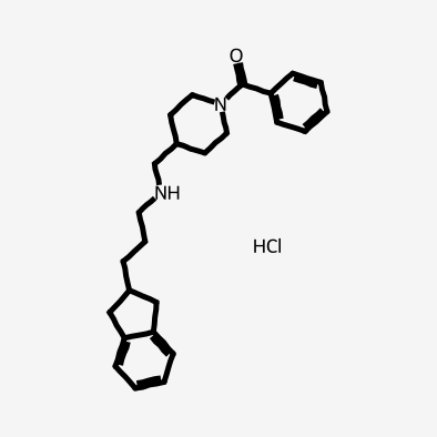 Cl.O=C(c1ccccc1)N1CCC(CNCCCC2Cc3ccccc3C2)CC1